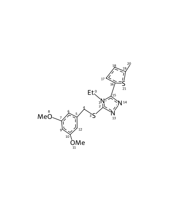 CCn1c(SCc2cc(OC)cc(OC)c2)nnc1-c1ccc(C)s1